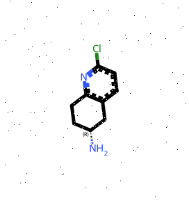 N[C@@H]1CCc2nc(Cl)ccc2C1